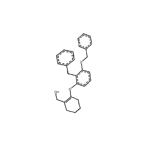 OCC1=C(Oc2cccc(OCc3ccccc3)c2Cc2ccccc2)CCCC1